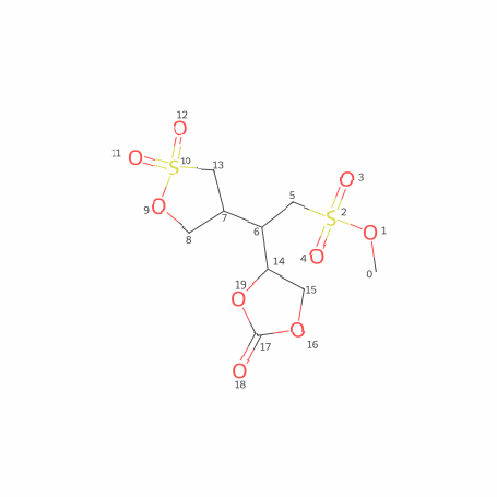 COS(=O)(=O)CC(C1COS(=O)(=O)C1)C1COC(=O)O1